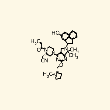 C=CC(=O)N1CCN(c2nc(OC[C@@H]3CCCN3C)nc3c2CN(C2Cc4cccc5cc(O)cc2c45)C3(C)C)C[C@@H]1CC#N